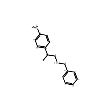 COc1ccc(C(C)CNCc2ccccc2)cc1